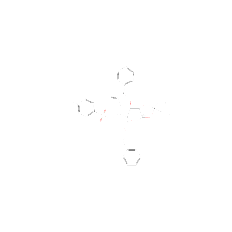 C=CC[C@]1(OCc2ccccc2)[C@H]2OC(C)(C)O[C@H]2O[C@@]1(COCc1ccccc1)COS(=O)(=O)c1ccc(C)cc1